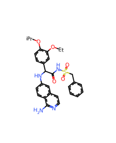 CCOc1cc(C(Nc2ccc3c(N)nccc3c2)C(=O)NS(=O)(=O)Cc2ccccc2)ccc1OC(C)C